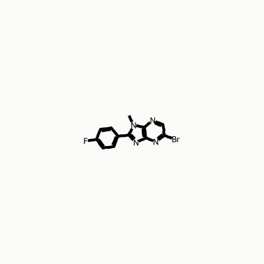 Cn1c(-c2ccc(F)cc2)nc2nc(Br)cnc21